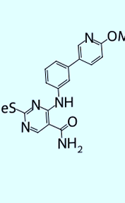 COc1ccc(-c2cccc(Nc3nc(SC)ncc3C(N)=O)c2)cn1